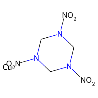 O=[N+]([O-])N1CN([N+](=O)[O-])CN([N+](=O)[O-])C1.[Cu]